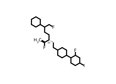 C=C(F)[C@@H](CCC1CCC(C2CCC(I)CC2F)CC1)CCC(CF)C1CCCCC1